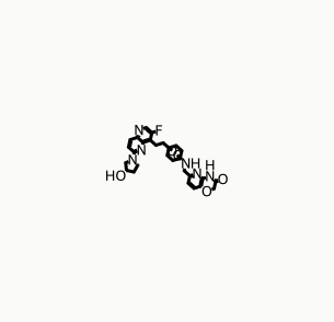 O=C1COc2ccc(CNC34CCC(CCc5c(F)cnc6ccc(N7CCC(O)C7)nc56)(CC3)OC4)nc2N1